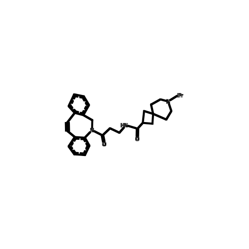 CC(C)N1CCC2(CC1)CC(C(=O)NCCC(=O)N1Cc3ccccc3C#Cc3ccccc31)C2